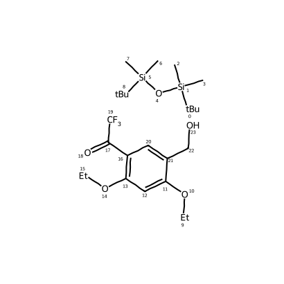 CC(C)(C)[Si](C)(C)O[Si](C)(C)C(C)(C)C.CCOc1cc(OCC)c(C(=O)C(F)(F)F)cc1CO